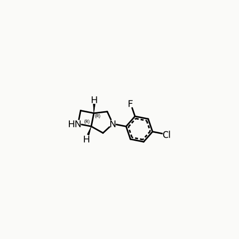 Fc1cc(Cl)ccc1N1C[C@H]2CN[C@H]2C1